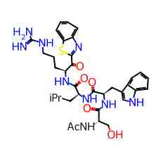 CC(=O)N[C@@H](CO)C(=O)N[C@H](Cc1c[nH]c2ccccc12)C(=O)N[C@@H](CC(C)C)C(=O)N[C@@H](CCCNC(=N)N)C(=O)c1nc2ccccc2s1